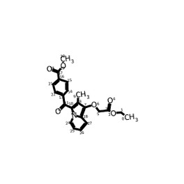 CCOC(=O)COc1c(C)c(C(=O)c2ccc(C(=O)OC)cc2)n2ccccc12